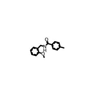 COc1ccccc1CNC(=O)c1ccc(C)cc1